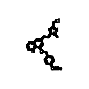 COc1ccc(COc2cc(CCc3cc(CCl)nn3C)cc3cccnc23)cc1